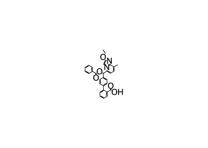 CCOc1cn2c([C@H](OC(=O)c3ccccc3)c3ccc(-c4ccccc4C(=O)O)cc3)ccc(C)c2n1